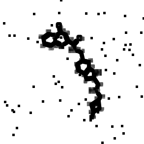 O=C(NCc1ccc2cc(CNCC34CC(F)(C3)C4)[nH]c2c1)c1cc(=O)n2ccccc2n1